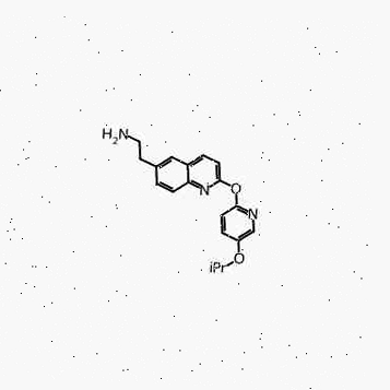 CC(C)Oc1ccc(Oc2ccc3cc(CCN)ccc3n2)nc1